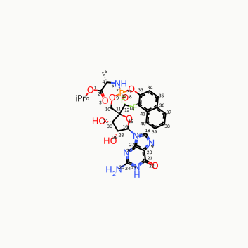 CC(C)OC(=O)[C@H](C)NP(=O)(OC[C@@]1(C(F)F)O[C@@H](n2cnc3c(=O)[nH]c(N)nc32)[C@H](O)[C@@H]1O)Oc1ccc2ccccc2c1